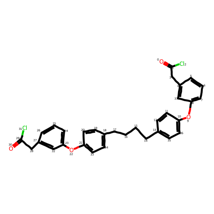 O=C(Cl)Cc1cccc(Oc2ccc(CCCCc3ccc(Oc4cccc(CC(=O)Cl)c4)cc3)cc2)c1